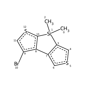 C[Si]1(C)c2cscc2-c2c(Br)csc21